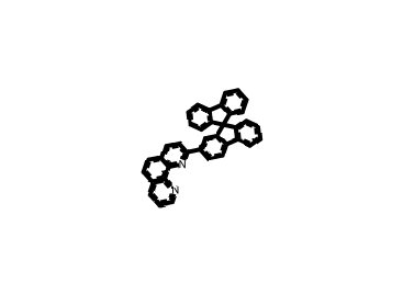 c1ccc2c(c1)-c1ccccc1C21c2ccccc2-c2ccc(-c3ccc4ccc5cccnc5c4n3)cc21